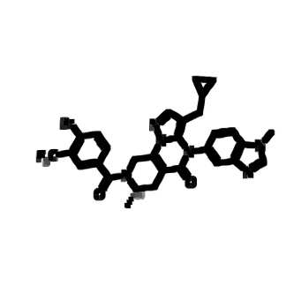 C[C@H]1Cc2c(n3ncc(CC4CC4)c3n(-c3ccc4c(c3)ncn4C)c2=O)CN1C(=O)c1ccc(Br)c(C(F)(F)F)c1